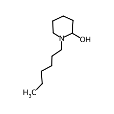 CCCCCCN1CCCCC1O